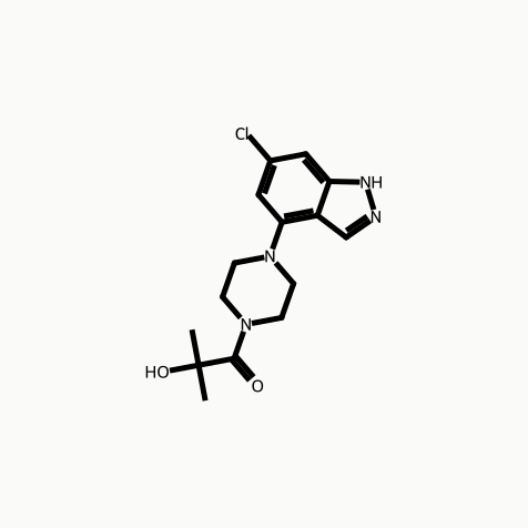 CC(C)(O)C(=O)N1CCN(c2cc(Cl)cc3[nH]ncc23)CC1